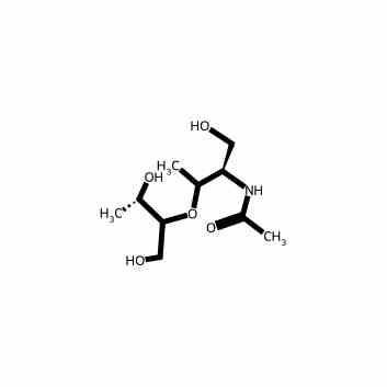 CC(=O)N[C@H](CO)C(C)OC(CO)[C@H](C)O